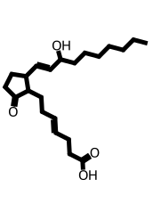 CCCCCCCC(O)C=CC1CCC(=O)C1CCC=CCCC(=O)O